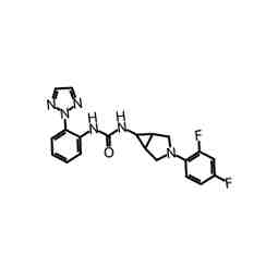 O=C(Nc1ccccc1-n1nccn1)NC1C2CN(c3ccc(F)cc3F)CC21